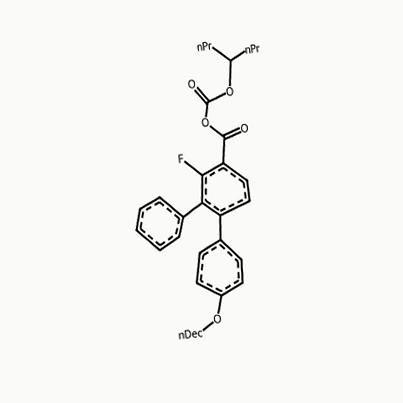 CCCCCCCCCCOc1ccc(-c2ccc(C(=O)OC(=O)OC(CCC)CCC)c(F)c2-c2ccccc2)cc1